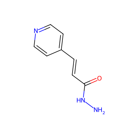 NNC(=O)/C=C/c1ccncc1